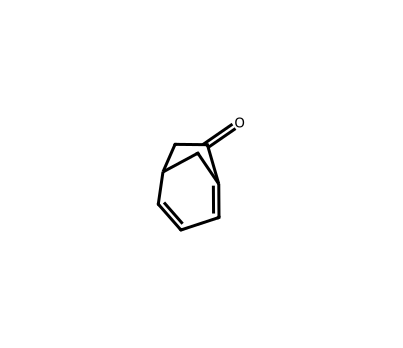 O=C1CC2C=CC=C1C2